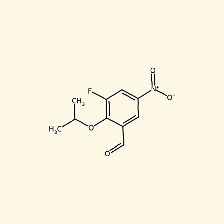 CC(C)Oc1c(F)cc([N+](=O)[O-])cc1C=O